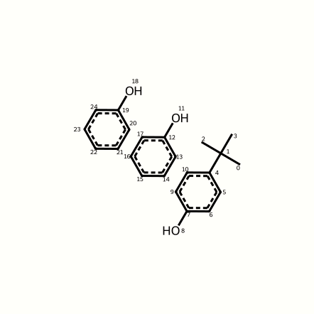 CC(C)(C)c1ccc(O)cc1.Oc1ccccc1.Oc1ccccc1